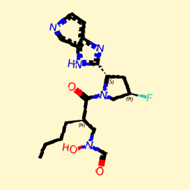 CCCC[C@H](CN(O)C=O)C(=O)N1C[C@H](F)C[C@H]1c1nc2ccncc2[nH]1